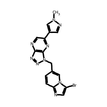 Cn1cc(-c2cnc3nnn(Cc4ccc5ncc(Br)n5c4)c3n2)cn1